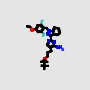 CCOc1cc(F)c(Cn2nc(-c3ncc(CCCO[Si](C)(C)C(C)(C)C)c(N)n3)c3ccccc32)c(F)c1